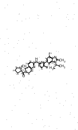 Cc1nc2c(F)cc(-c3nc(Nc4ccc5c(n4)CCN(C(=O)C4CCCN4C)C5)ncc3F)cc2n1C(C)C